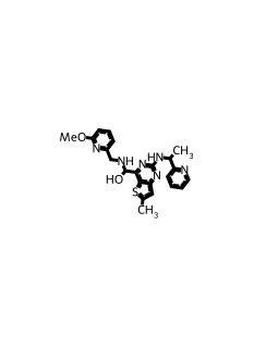 COc1cccc(CNC(O)c2nc(NC(C)c3ccccn3)nc3cc(C)sc23)n1